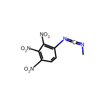 CN=C=Nc1ccc([N+](=O)[O-])c([N+](=O)[O-])c1[N+](=O)[O-]